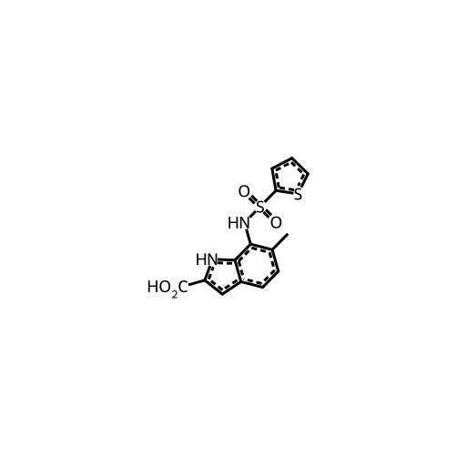 Cc1ccc2cc(C(=O)O)[nH]c2c1NS(=O)(=O)c1cccs1